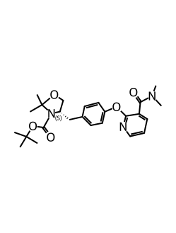 CN(C)C(=O)c1cccnc1Oc1ccc(C[C@H]2COC(C)(C)N2C(=O)OC(C)(C)C)cc1